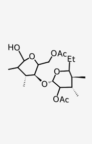 CCC1O[C@@H](O[C@@H]2C(COC(C)=O)OC(O)C(C)[C@H]2C)C(OC(C)=O)[C@@H](C)[C@@H]1C